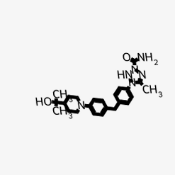 CC1=NN(C(N)=O)NN1c1ccc(Cc2ccc(N3CCC(C(C)(C)O)CC3)cc2)cc1